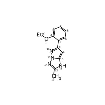 CCOc1ccccc1-c1cc2[nH]c(C)nn2n1